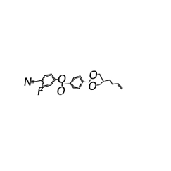 C=CCC[C@H]1CO[C@H](c2ccc(C(=O)Oc3ccc(C#N)c(F)c3)cc2)OC1